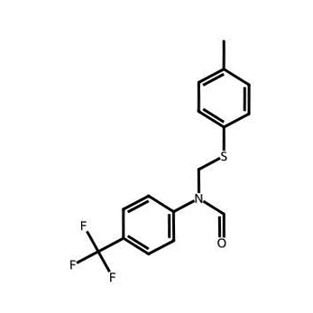 Cc1ccc(SCN(C=O)c2ccc(C(F)(F)F)cc2)cc1